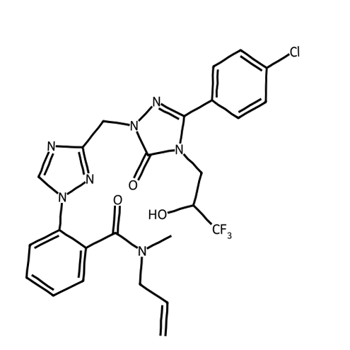 C=CCN(C)C(=O)c1ccccc1-n1cnc(Cn2nc(-c3ccc(Cl)cc3)n(CC(O)C(F)(F)F)c2=O)n1